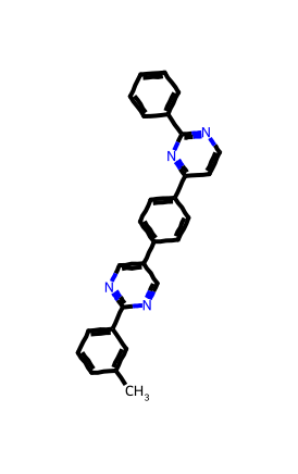 Cc1cccc(-c2ncc(-c3ccc(-c4ccnc(-c5ccccc5)n4)cc3)cn2)c1